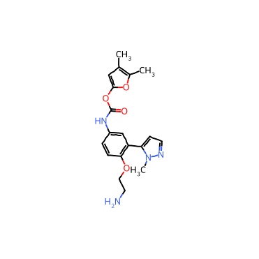 Cc1cc(OC(=O)Nc2ccc(OCCN)c(-c3ccnn3C)c2)oc1C